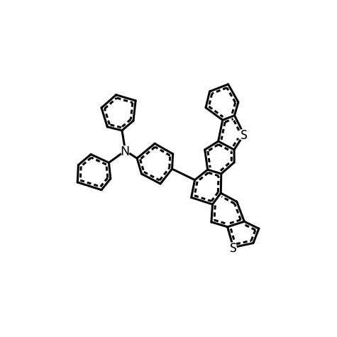 c1ccc(N(c2ccccc2)c2ccc(-c3cc4cc5sccc5cc4c4cc5sc6ccccc6c5cc34)cc2)cc1